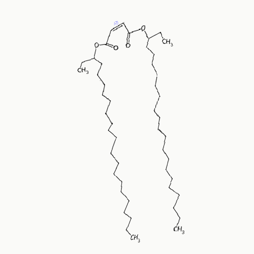 CCCCCCCCCCCCCCCCCCCC(CC)OC(=O)/C=C\C(=O)OC(CC)CCCCCCCCCCCCCCCCCCC